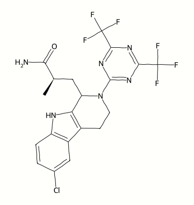 C[C@H](CC1c2[nH]c3ccc(Cl)cc3c2CCN1c1nc(C(F)(F)F)nc(C(F)(F)F)n1)C(N)=O